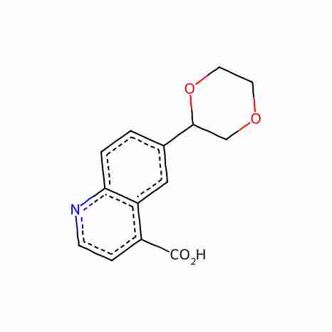 O=C(O)c1ccnc2ccc(C3COCCO3)cc12